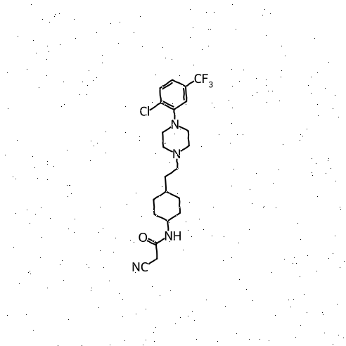 N#CCC(=O)NC1CCC(CCN2CCN(c3cc(C(F)(F)F)ccc3Cl)CC2)CC1